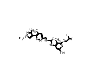 Cc1cc(CNC(=O)Nc2cc(C#N)nc(OCC(F)F)c2C)nnc1-c1cn(C)nc1C(F)(F)F